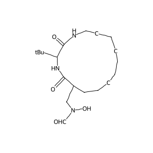 CC(C)(C)C1NC(=O)C(CN(O)C=O)CCCCCCCCCNC1=O